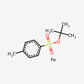 Cc1ccc(S(=O)(=O)OC(C)(C)C)cc1.[Fe]